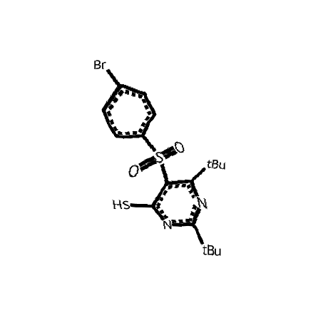 CC(C)(C)c1nc(S)c(S(=O)(=O)c2ccc(Br)cc2)c(C(C)(C)C)n1